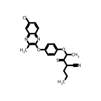 CCCC(C#N)C(=S)C(C)Oc1ccc(Oc2nc3ccc(Cl)cc3nc2C)cc1